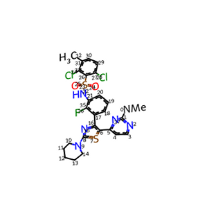 CNc1nccc(-c2sc(N3CCCCC3)nc2-c2cccc(NS(=O)(=O)c3c(Cl)ccc(C)c3Cl)c2F)n1